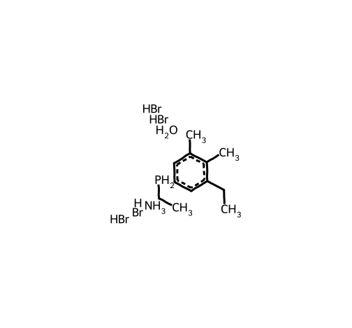 Br.Br.Br.Br.CCP.CCc1cccc(C)c1C.N.O